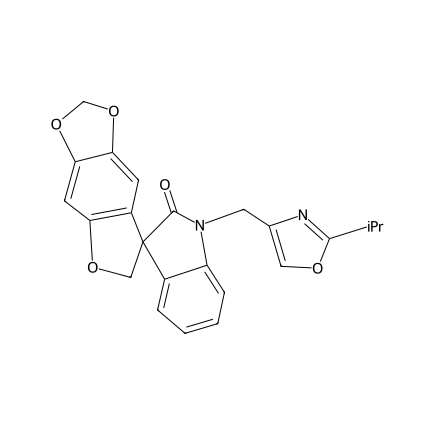 CC(C)c1nc(CN2C(=O)C3(COc4cc5c(cc43)OCO5)c3ccccc32)co1